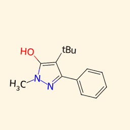 Cn1nc(-c2ccccc2)c(C(C)(C)C)c1O